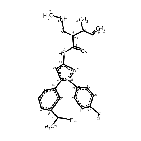 C=CC(C)[C@H](CNC)C(=O)Nc1cc(-c2cccc(C(C)F)c2)n(-c2ccc(F)cc2)n1